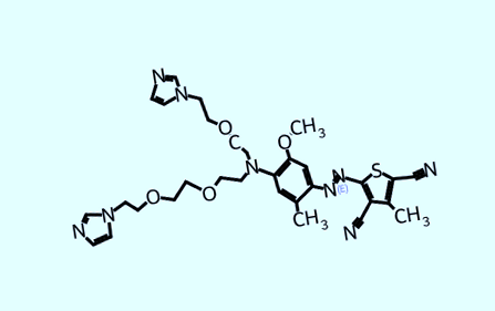 COc1cc(/N=N/c2sc(C#N)c(C)c2C#N)c(C)cc1N(CCOCCOCCn1ccnc1)CCOCCn1ccnc1